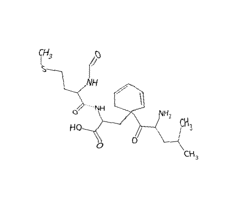 CSCCC(NC=O)C(=O)NC(CC1(C(=O)C(N)CC(C)C)C=CC=CC1)C(=O)O